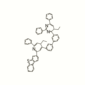 CCC1C=C(c2ccccc2)N=C(c2ccc3c(c2)sc2ccccc23)C=C1c1cccc(-c2cccc(C3=NC(c4ccccc4)=NC(c4ccccc4)=CC3CC)c2)c1